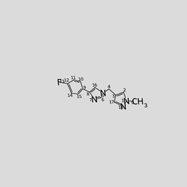 Cn1cc(Cn2cnc(-c3ccc(F)cc3)c2)cn1